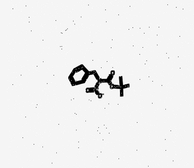 CC(C)(C)OC(=O)N(Cc1ccccc1)[N+](=O)[O-]